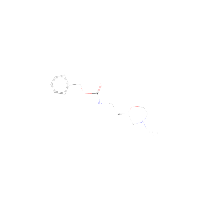 O=C(NCC[C@@H]1CN(C(=O)O)CCO1)OCc1ccccc1